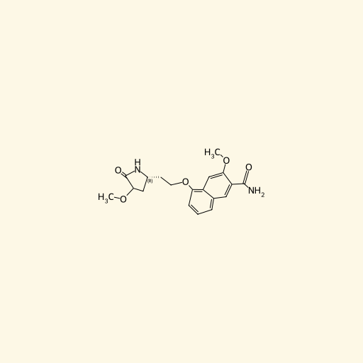 COc1cc2c(OCC[C@@H]3CC(OC)C(=O)N3)cccc2cc1C(N)=O